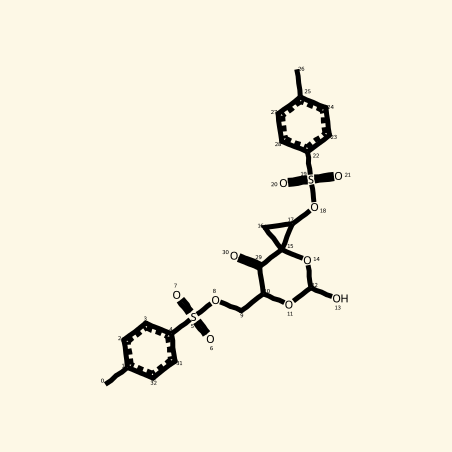 Cc1ccc(S(=O)(=O)OCC2OC(O)OC3(CC3OS(=O)(=O)c3ccc(C)cc3)C2=O)cc1